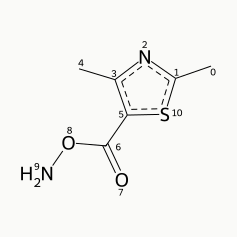 Cc1nc(C)c(C(=O)ON)s1